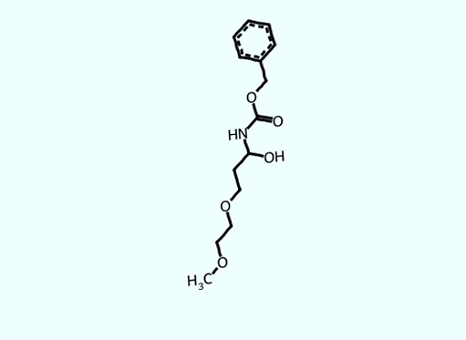 COCCOCCC(O)NC(=O)OCc1ccccc1